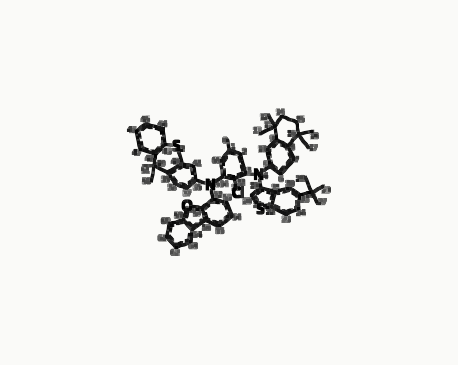 Cc1cc(N(c2ccc3c(c2)C(C)(C)CCC3(C)C)c2csc3ccc(C(C)(C)C)cc23)c(Cl)c(N(c2ccc3c(c2)Sc2ccccc2C3(C)C)c2cccc3c2oc2ccccc23)c1